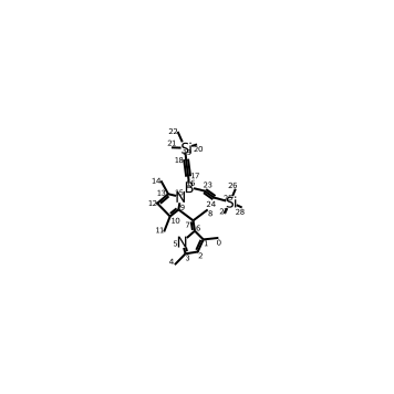 CC1=CC(C)=N/C1=C(/C)c1c(C)cc(C)n1B(C#C[Si](C)(C)C)C#C[Si](C)(C)C